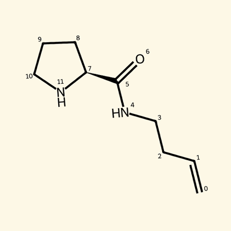 C=CCCNC(=O)[C@@H]1CCCN1